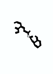 C=CC(=C)C(/C=C\C)=C\C=C(/C)OC(=C)/C=c1/cccc/c1=C/C